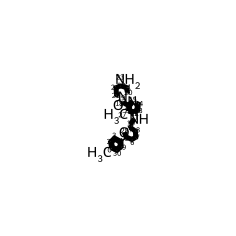 Cc1ccc([C@@H]2CCC[C@H](CNc3ccnc(C(=O)N4CCC(N)CC4)c3C)O2)cc1